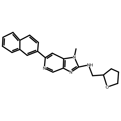 Cn1c(NCC2CCCO2)nc2cnc(-c3ccc4ccccc4c3)cc21